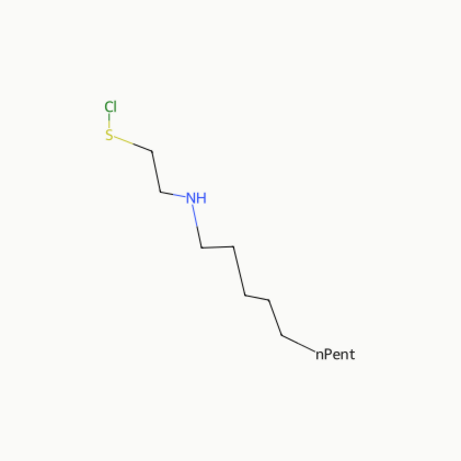 CCCCCCCCCCNCCSCl